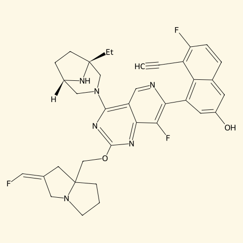 C#Cc1c(F)ccc2cc(O)cc(-c3ncc4c(N5C[C@@H]6CC[C@](CC)(C5)N6)nc(OCC56CCCN5C/C(=C\F)C6)nc4c3F)c12